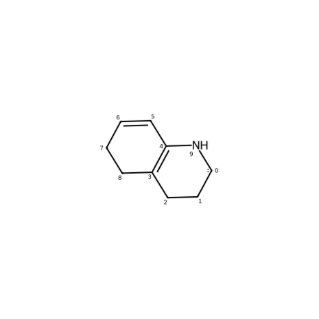 [C]1CCC2=C(C=CCC2)N1